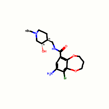 CCCCN1CC[C@@H](CNC(=O)c2cc(N)c(Br)c3c2OCCCO3)[C@H](O)C1